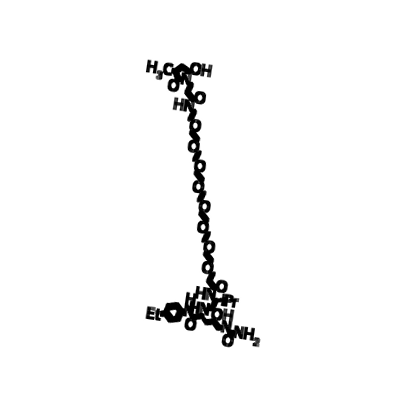 CCc1ccc(NC(=O)[C@H](CCCNC(N)=O)NC(=O)[C@@H](NC(=O)CCOCCOCCOCCOCCOCCOCCOCCOCCNC(=O)CCN2C(=O)C(C)CC2O)C(C)C)cc1